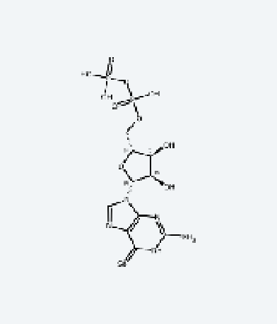 Nc1nc2c(ncn2[C@@H]2O[C@H](COP(=O)(O)OP(=O)(O)O)[C@@H](O)[C@H]2O)c(=[Se])[nH]1